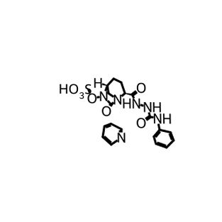 O=C(NNC(=O)[C@@H]1CC[C@@H]2CN1C(=O)N2OS(=O)(=O)O)Nc1ccccc1.c1ccncc1